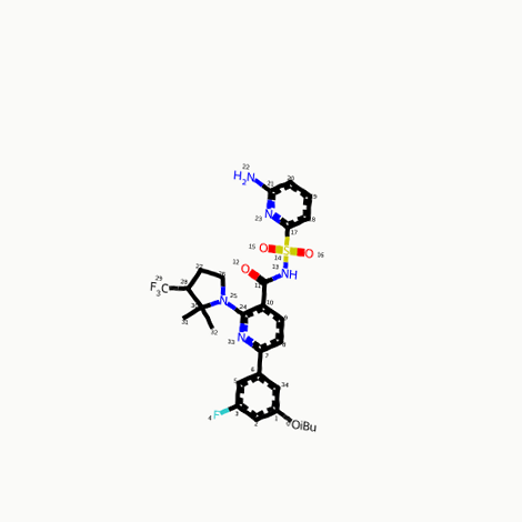 CC(C)COc1cc(F)cc(-c2ccc(C(=O)NS(=O)(=O)c3cccc(N)n3)c(N3CCC(C(F)(F)F)C3(C)C)n2)c1